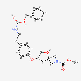 CC(C)(C)OC(=O)N1CC2(CC(Oc3ccc(CCNC(=O)OCc4ccccc4)cc3)CO2)C1